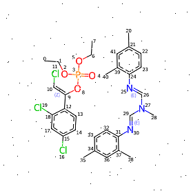 CCOP(=O)(OCC)O/C(=C\Cl)c1ccc(Cl)cc1Cl.Cc1ccc(/N=C/N(C)/C=N/c2ccc(C)cc2C)c(C)c1